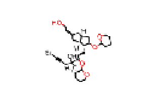 CCC#CCC(C)(C)[C@@H](C=C[C@@H]1[C@H]2CC(=CCO)C[C@H]2C[C@H]1OC1CCCCO1)OC1CCCCO1